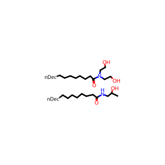 CCCCCCCCCCCCCCCCCC(=O)N(CCO)CCO.CCCCCCCCCCCCCCCCCC(=O)NCC(C)O